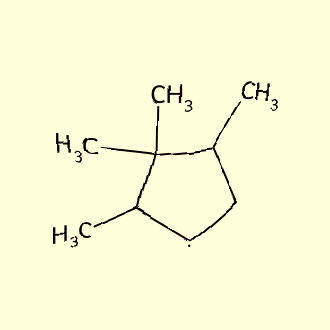 CC1[CH]CC(C)C1(C)C